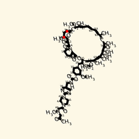 CO[C@H]1C[C@@H]2CC[C@@H](C)[C@@](O)(O2)C(=O)C(=O)N2CCCC[C@H]2C(=O)O[C@H]([C@H](N)C[C@@H]2CC[C@@H](OC(=O)NCc3cnc(N4CCN(C(=O)CN(C)CC(C)=O)CC4)nc3)[C@H](OC)C2)C[C@@H](OC)[C@H](C)/C=C(\C)[C@@H](O)[C@@H](O)C(=O)[C@H](C)C[C@H](C)/C=C/C=C/C=C/1C